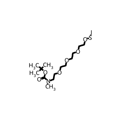 CN(CCOCCOCCOCCOSI)C(=O)OC(C)(C)C